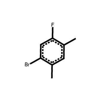 Cc1cc(C)c(Br)cc1F